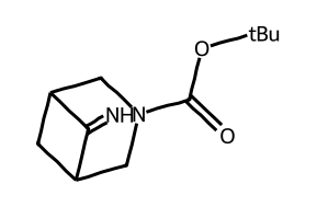 CC(C)(C)OC(=O)N1CC2CC(C1)C2=N